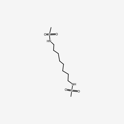 CS(=O)(=O)NCCCCCCCCNS(C)(=O)=O